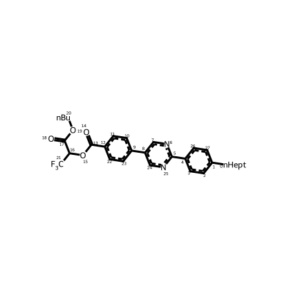 CCCCCCCc1ccc(-c2ncc(-c3ccc(C(=O)OC(C(=O)OCCCC)C(F)(F)F)cc3)cn2)cc1